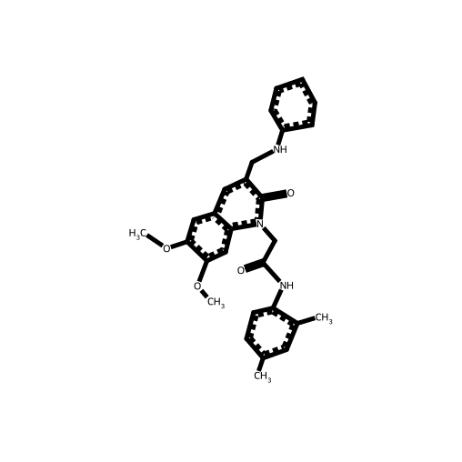 COc1cc2cc(CNc3ccccc3)c(=O)n(CC(=O)Nc3ccc(C)cc3C)c2cc1OC